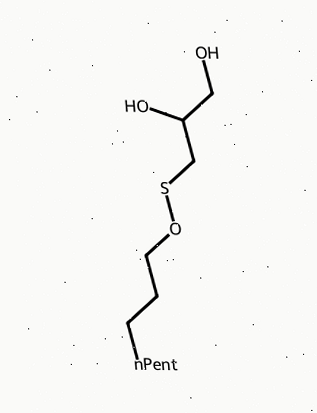 CCCCCCCCOSCC(O)CO